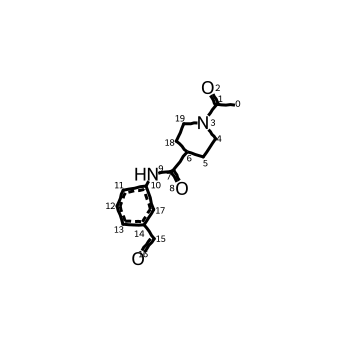 CC(=O)N1CCC(C(=O)Nc2cccc(C=O)c2)CC1